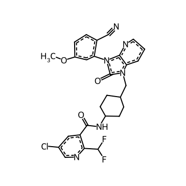 COc1ccc(C#N)c(-n2c(=O)n(CC3CCC(NC(=O)c4cc(Cl)cnc4C(F)F)CC3)c3cccnc32)c1